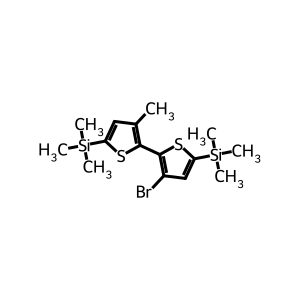 Cc1cc([Si](C)(C)C)sc1-c1sc([Si](C)(C)C)cc1Br